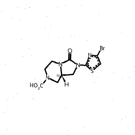 O=C(O)N1CCN2C(=O)N(c3nc(Br)cs3)C[C@@H]2C1